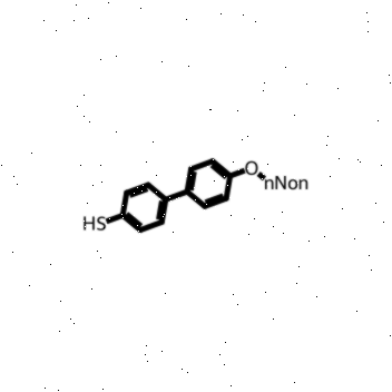 CCCCCCCCCOc1ccc(-c2ccc(S)cc2)cc1